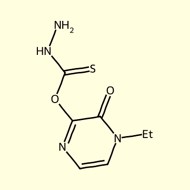 CCn1ccnc(OC(=S)NN)c1=O